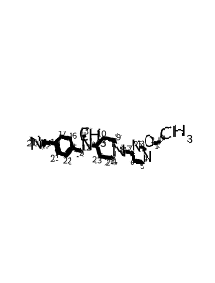 CCOc1nccc(N2CCC(N(C)Cc3ccc(C#N)cc3)CC2)n1